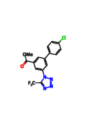 COC(=O)c1cc(-c2ccc(Cl)cc2)cc(-n2nnnc2C(F)(F)F)c1